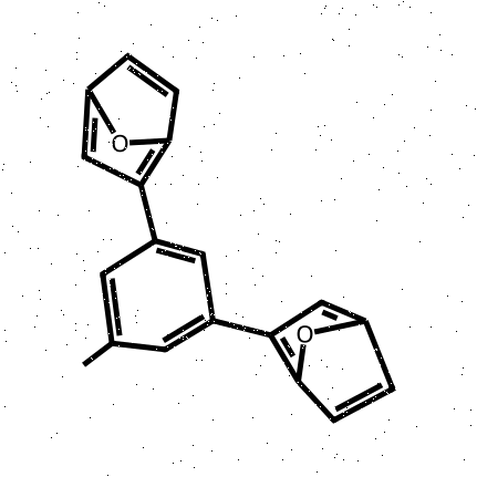 Cc1cc(-c2cc3ccc2o3)cc(-c2cc3ccc2o3)c1